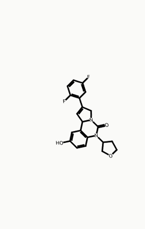 O=C1N2CC(c3cc(F)ccc3F)=CC2c2cc(O)ccc2N1C1CCOC1